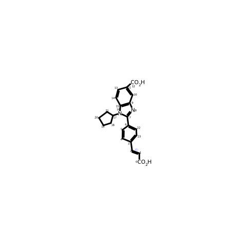 O=C(O)/C=C/c1ccc(-c2nc3cc(C(=O)O)ccc3n2C2CCCC2)cc1